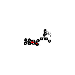 C=Cc1ccc(-c2ccc3c(c2)C2(c4ccccc4-3)c3ccccc3-c3ccc(-c4ccc(-n5c6ccccc6c6cc(-c7ccc(N(c8ccc(-c9ccccc9)cc8)c8ccc9c(c8)C(C)(C)c8ccccc8-9)cc7)ccc65)cc4)cc32)cc1